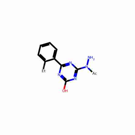 CCc1ccccc1-c1nc(O)nc(N(N)C(C)=O)n1